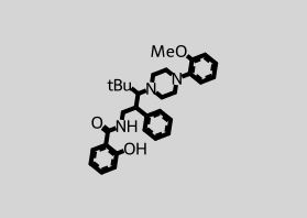 COc1ccccc1N1CCN(C(C(CNC(=O)c2ccccc2O)c2ccccc2)C(C)(C)C)CC1